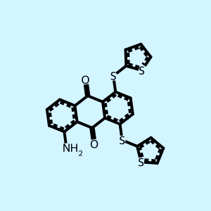 Nc1cccc2c1C(=O)c1c(Sc3cccs3)ccc(Sc3cccs3)c1C2=O